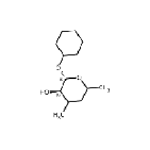 CC1CC(C)[C@@H](O)[C@H](OC2CCCCC2)O1